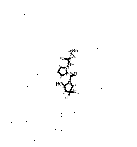 CC(C)(C)OC(=O)NN1CCC[C@H]1C(=O)N1CC(F)(F)C[C@H]1C#N